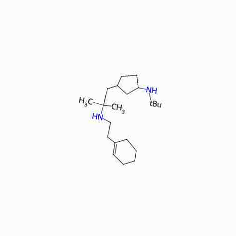 CC(C)(C)NC1CCC(CC(C)(C)NCCC2=CCCCC2)C1